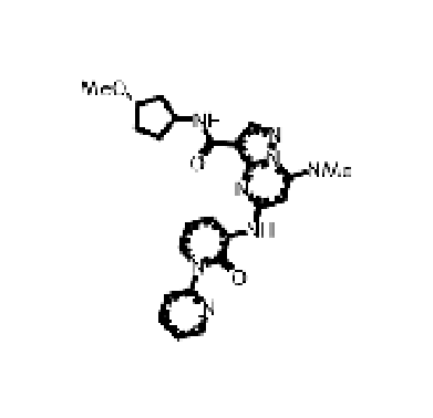 CNc1cc(Nc2cccn(-c3ccccn3)c2=O)nc2c(C(=O)NC3CC[C@H](OC)C3)cnn12